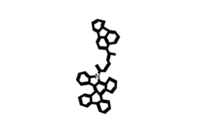 C=C(/C=C\C=C(/C)c1ccc2c3c(cccc13)-c1ccccc1-2)n1c2ccccc2c2c3c4ccccc4c4ccccc4c3c3ccccc3c21